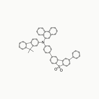 CC1(C)c2ccccc2-c2ccc(N(c3ccc(-c4ccc5c(c4)-c4cc(-c6ccccc6)ccc4S5(=O)=O)cc3)c3cc4ccccc4c4ccccc34)cc21